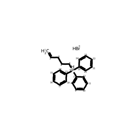 Br.C=CCCC[PH](c1ccccc1)(c1ccccc1)c1ccccc1